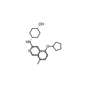 Cc1ccc(OC2CCCC2)c2cc(N[C@H]3CC[C@@H](O)CC3)ncc12